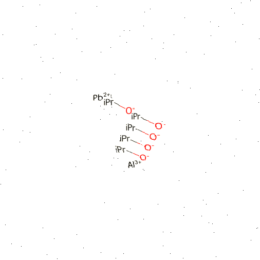 CC(C)[O-].CC(C)[O-].CC(C)[O-].CC(C)[O-].CC(C)[O-].[Al+3].[Pb+2]